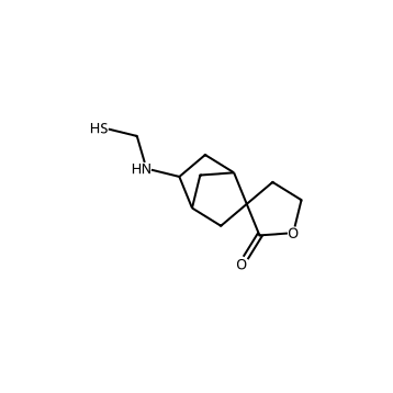 O=C1OCCC12CC1CC2CC1NCS